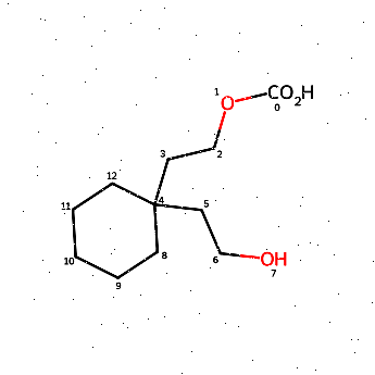 O=C(O)OCCC1(CCO)CCCCC1